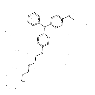 COc1ccc(N(c2ccccc2)c2ccc(OCCOCCO)cc2)cc1